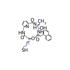 C/C=C1\NC(=O)c2cccc(n2)CNC(=O)C[C@@H](/C=C/CCS)OC(=O)[C@H](Cc2cccc3ccccc23)NC1O